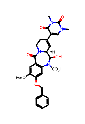 COc1cc2c(cc1OCc1ccccc1)N(C(=O)O)C(O)[C@@H]1C=C(c3cn(C)c(=O)n(C)c3=O)CCN1C2=O